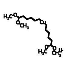 COC(CCCC[CH2][Cu][CH2]CCCCC(OC)OC)OC.[Li]